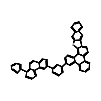 c1ccc(-c2cccc3c2ccc2ccc(-c4cccc(-c5ccc6c(c5)c5ccccc5c5ccc7c8cc9ccccc9cc8sc7c56)c4)cc23)cc1